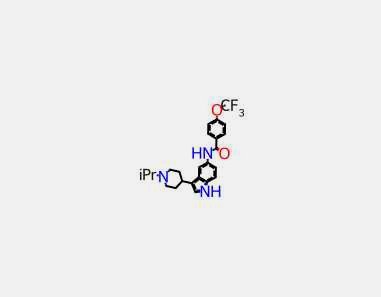 CC(C)N1CCC(c2c[nH]c3ccc(NC(=O)c4ccc(OC(F)(F)F)cc4)cc23)CC1